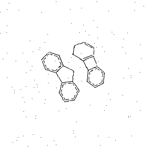 C1=CC2=C(CC1)c1ccccc12.c1ccc2c(c1)Cc1ccccc1-2